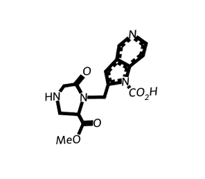 COC(=O)C1CNCC(=O)N1Cc1cc2cnccc2n1C(=O)O